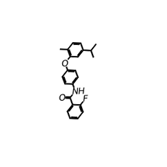 Cc1ccc(C(C)C)cc1Oc1ccc(NC(=O)c2ccccc2F)cc1